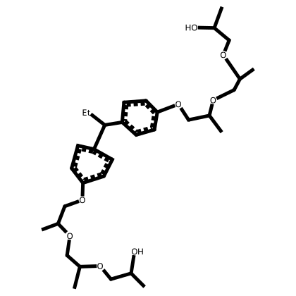 CCC(c1ccc(OCC(C)OCC(C)OCC(C)O)cc1)c1ccc(OCC(C)OCC(C)OCC(C)O)cc1